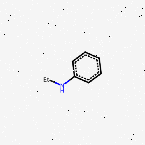 CCNc1[c]cccc1